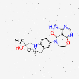 CC(C)(O)CN1CCc2cc(N3CCOc4ncnc(N)c4C3=O)ccc21